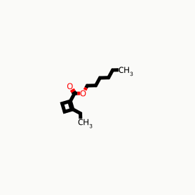 CCCCCCOC(=O)C1=C(CC)CC1